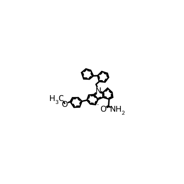 COc1ccc(-c2c[c]c3c4c(C(N)=O)cccc4n(Cc4ccccc4-c4ccccc4)c3c2)cc1